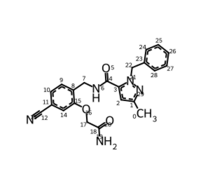 Cc1cc(C(=O)NCc2ccc(C#N)cc2OCC(N)=O)n(Cc2ccccc2)n1